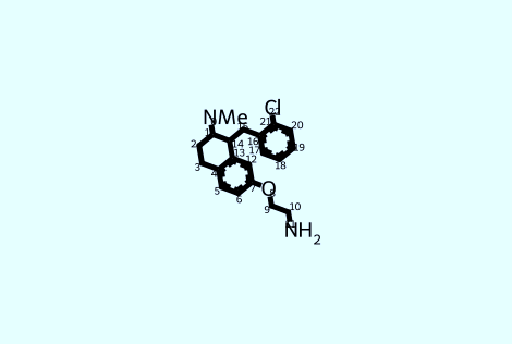 CNC1CCc2ccc(OCCN)cc2C1Cc1ccccc1Cl